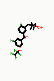 CC(C)(Cc1cc(C(=O)c2cc(F)cc(OC(F)(F)C(F)F)c2)ccc1F)[Si](C)(C)O